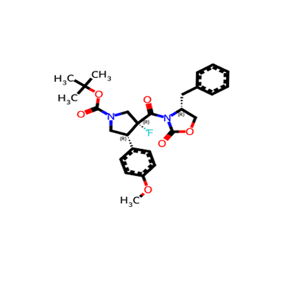 COc1ccc([C@@H]2CN(C(=O)OC(C)(C)C)C[C@@]2(F)C(=O)N2C(=O)OC[C@H]2Cc2ccccc2)cc1